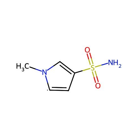 Cn1[c]cc(S(N)(=O)=O)c1